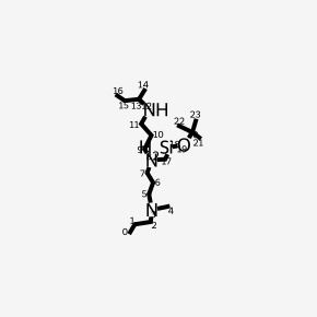 CCCN(C)CCCN(CCCNC(C)CC)C[SiH2]OC(C)(C)C